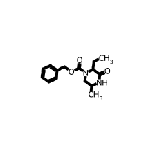 CCC1C(=O)NC(C)CN1C(=O)OCc1ccccc1